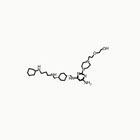 Nc1cc(NC[C@H]2CC[C@H](CNCCCNC3CCCCC3)CC2)nc(N2CCN(CCOCCO)CC2)n1